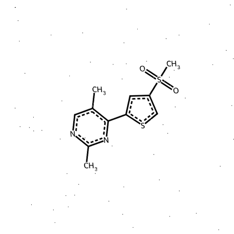 Cc1ncc(C)c(-c2cc(S(C)(=O)=O)cs2)n1